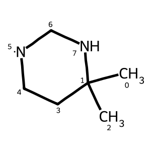 CC1(C)CC[N]CN1